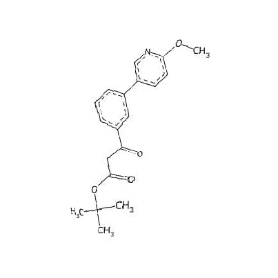 COc1ccc(-c2cccc(C(=O)CC(=O)OC(C)(C)C)c2)cn1